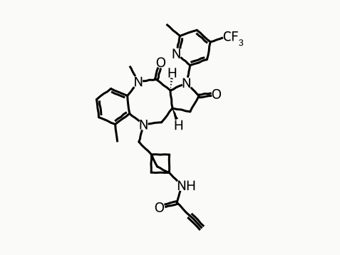 C#CC(=O)NC12CC(CN3C[C@H]4CC(=O)N(c5cc(C(F)(F)F)cc(C)n5)[C@@H]4C(=O)N(C)c4cccc(C)c43)(C1)C2